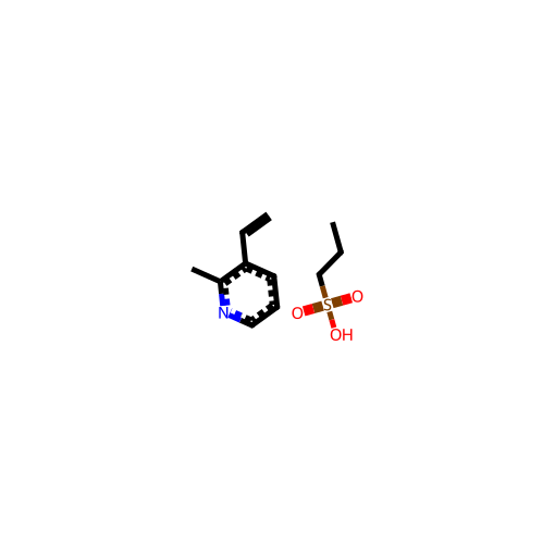 C=Cc1cccnc1C.CCCS(=O)(=O)O